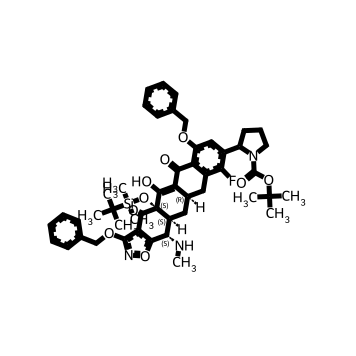 CN[C@@H]1c2onc(OCc3ccccc3)c2C(=O)[C@@]2(O[Si](C)(C)C(C)(C)C)C(O)=C3C(=O)c4c(OCc5ccccc5)cc(C5CCCN5C(=O)OC(C)(C)C)c(F)c4C[C@H]3C[C@@H]12